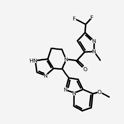 COc1cccn2nc(C3c4nc[nH]c4CCN3C(=O)c3cc(C(F)F)nn3C)cc12